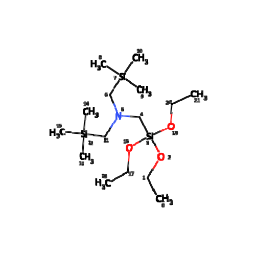 CCO[Si](CN(C[Si](C)(C)C)C[Si](C)(C)C)(OCC)OCC